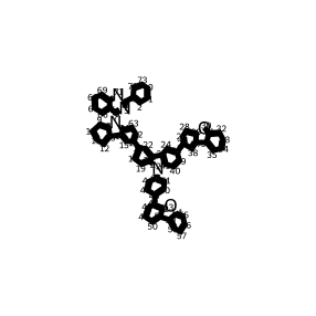 c1ccc(-c2nc(-n3c4ccccc4c4cc(-c5ccc6c(c5)c5cc(-c7ccc8oc9ccccc9c8c7)ccc5n6-c5ccc(-c6cccc7c6oc6ccccc67)cc5)ccc43)c3ccccc3n2)cc1